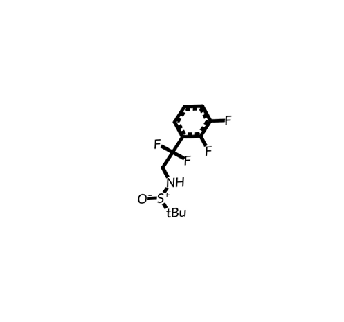 CC(C)(C)[S+]([O-])NCC(F)(F)c1cccc(F)c1F